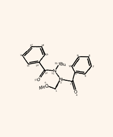 COCN(C(=O)c1ccccc1)N(C(=O)c1ccccc1)C(C)(C)C